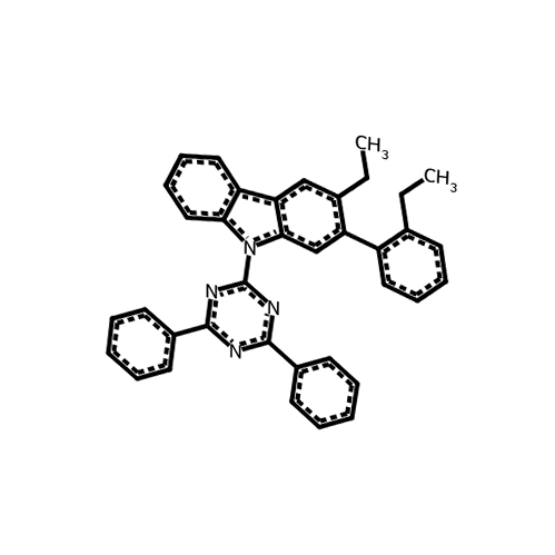 CCc1ccccc1-c1cc2c(cc1CC)c1ccccc1n2-c1nc(-c2ccccc2)nc(-c2ccccc2)n1